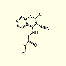 CCOC(=O)CNc1c(C#N)c(Cl)nc2ccccc12